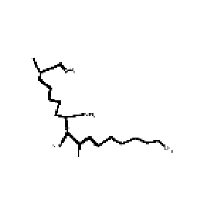 CC(CN)CCCCCC(N)C(N)C(C)CCCCCCCN